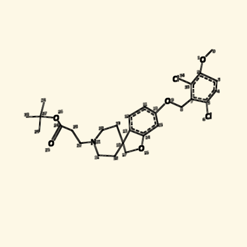 COc1ccc(Cl)c(COc2ccc3c(c2)OCC32CCN(CCC(=O)OC(C)(C)C)CC2)c1Cl